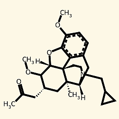 COc1ccc2c3c1O[C@H]1C(OC)[C@@H](CC(C)=O)C[C@]4(C)[C@@H](C2)N(CC2CC2)CC[C@]314